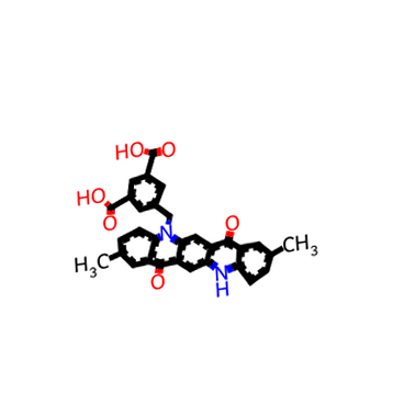 Cc1ccc2[nH]c3cc4c(=O)c5cc(C)ccc5n(Cc5cc(C(=O)O)cc(C(=O)O)c5)c4cc3c(=O)c2c1